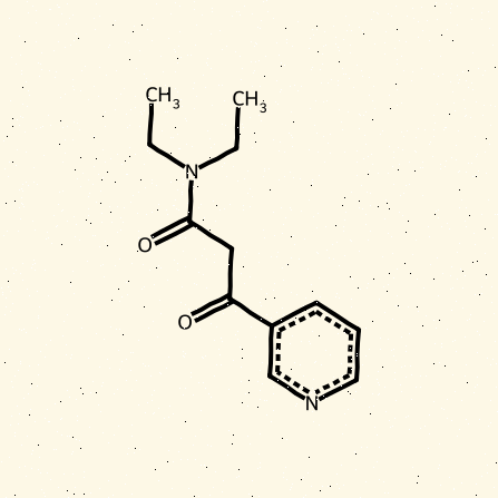 CCN(CC)C(=O)CC(=O)c1cccnc1